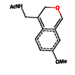 COc1ccc2c(c1)=COCC=2CNC(C)=O